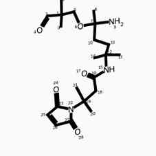 CC(C)(C=O)COC(C)(N)CCC(C)(C)NC(=O)CC(C)(C)N1C(=O)C=CC1=O